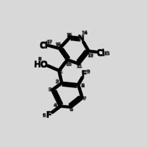 OC(c1cc(F)ccc1F)c1cc(Cl)ncc1Cl